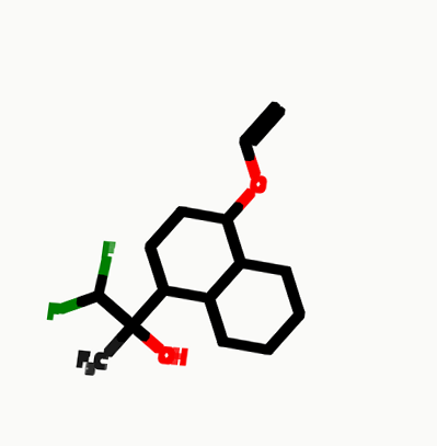 C=COC1CCC(C(O)(C(F)F)C(F)(F)F)C2CCCCC12